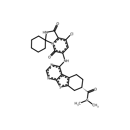 CN(C)C(=O)[C@H]1CCc2c(sc3ncnc(Nc4cc(Cl)c5n(c4=O)C4(CCCCC4)NC5=O)c23)C1